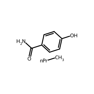 CCCC.NC(=O)c1ccc(O)cc1